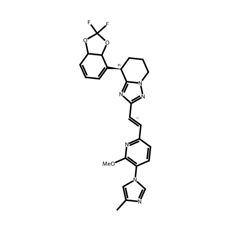 COc1nc(/C=C/c2nc3n(n2)CCC[C@@H]3C2=CC=CC3OC(F)(F)OC23)ccc1-n1cnc(C)c1